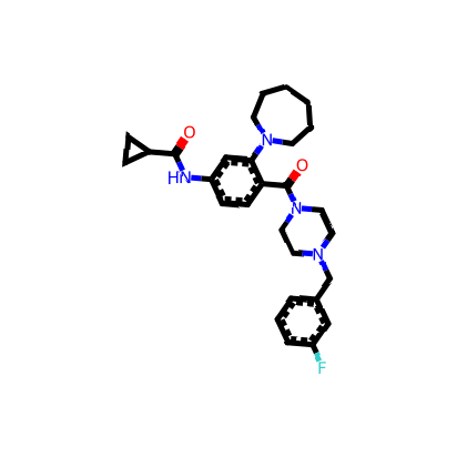 O=C(Nc1ccc(C(=O)N2CCN(Cc3cccc(F)c3)CC2)c(N2CCCCCC2)c1)C1CC1